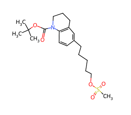 CC(C)(C)OC(=O)N1CCCc2cc(CCCCCOS(C)(=O)=O)ccc21